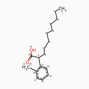 CCCCCCCCCC(C(=O)O)c1ccccc1C